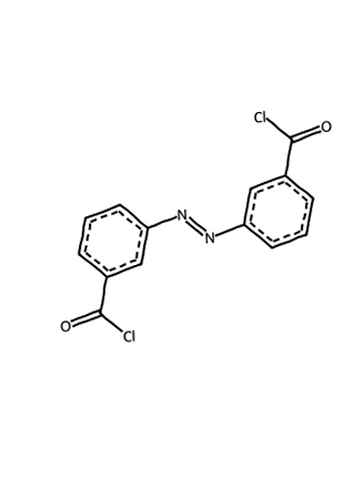 O=C(Cl)c1cccc(N=Nc2cccc(C(=O)Cl)c2)c1